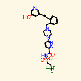 O=C(NS(=O)(=O)CCC(F)(F)F)c1ccc(N2CCN(Cc3ccccc3C#Cc3cncc(O)c3)CC2)nn1